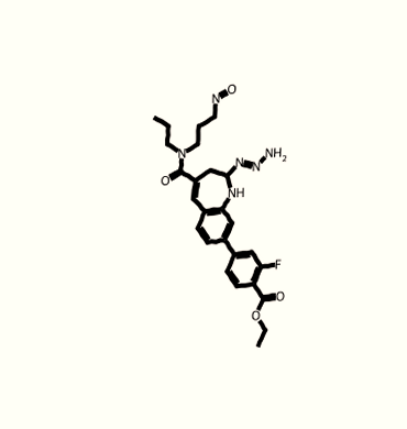 CCCN(CCCN=O)C(=O)C1=Cc2ccc(-c3ccc(C(=O)OCC)c(F)c3)cc2NC(N=NN)C1